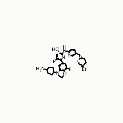 CCN1CCN(Cc2ccc(Nc3ncc(F)c(-c4cc(F)c5c(c4)N(C4CCC(N)CC4)CCO5)n3)nc2)CC1.Cl